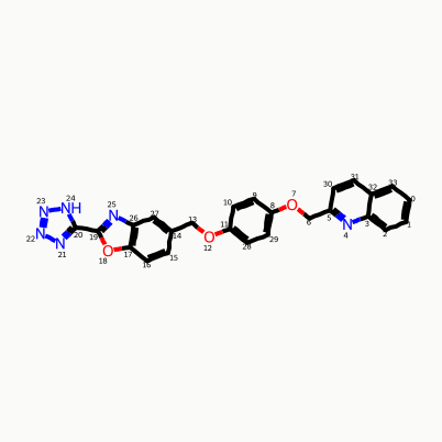 c1ccc2nc(COc3ccc(OCc4ccc5oc(-c6nnn[nH]6)nc5c4)cc3)ccc2c1